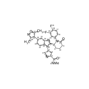 CNC(=O)c1cc(-n2c([C@@H]3CCCC(=O)N3c3ccc(F)c(F)c3)nc3cc(-c4c(C)noc4C)ccc32)sn1